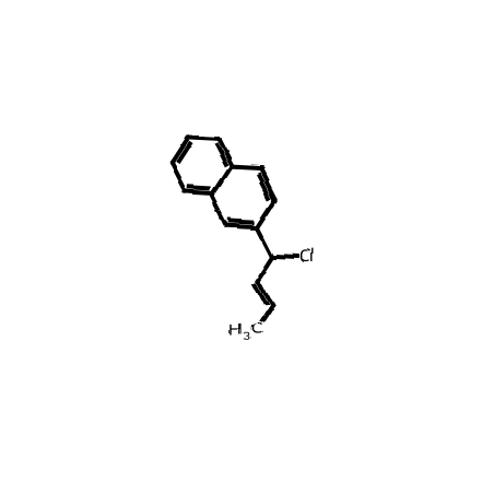 C/C=C/C(Cl)c1ccc2ccccc2c1